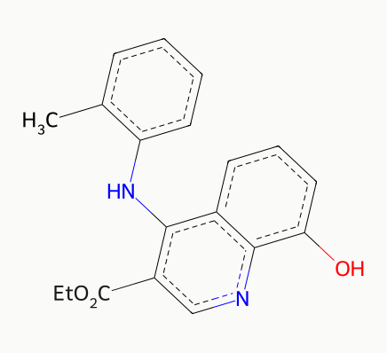 CCOC(=O)c1cnc2c(O)cccc2c1Nc1ccccc1C